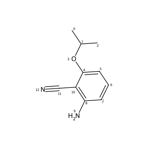 CC(C)Oc1cc[c]c(N)c1C#N